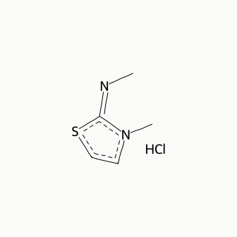 CN=c1sccn1C.Cl